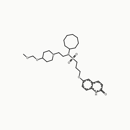 COCOC1CCN(CCN(C2CCCCCCC2)S(=O)(=O)CCCOc2ccc3[nH]c(=O)ccc3c2)CC1